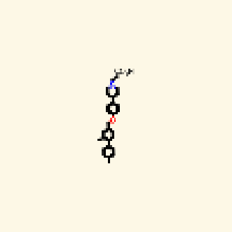 Cc1ccc(-c2ccc(COc3ccc(C4CCN(CCC(=O)O)CC4)cc3)cc2C)cc1